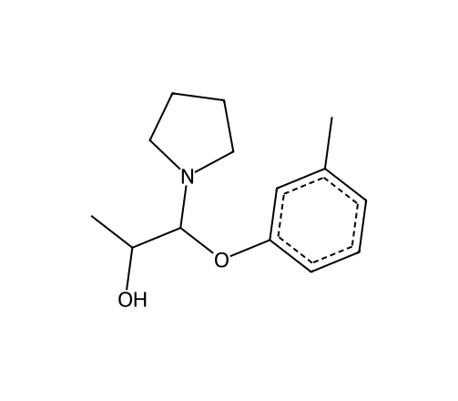 Cc1cccc(OC(C(C)O)N2CCCC2)c1